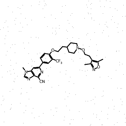 Cc1noc(C)c1CCON1CCC(CCOc2ccc(-c3cc4c(ncn4C)c(C#N)n3)cc2C(F)(F)F)CC1